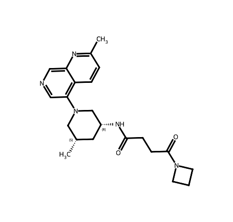 Cc1ccc2c(N3C[C@@H](C)C[C@@H](NC(=O)CCC(=O)N4CCC4)C3)cncc2n1